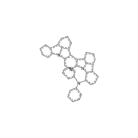 c1ccc(N(c2ccccc2)c2cccc3c4cccc5c6c7c8cccc9c%10ccccc%10n(c7cnc6n(c23)c45)c98)cc1